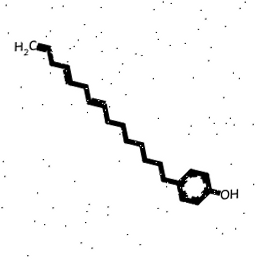 C=CCC=CCC=CCCCCCCCc1ccc(O)cc1